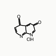 Cl.O=C1C=NC2=NC=CC(=O)C2=C1